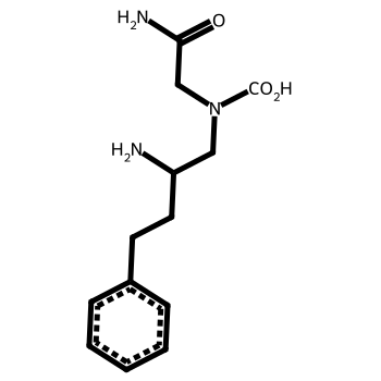 NC(=O)CN(CC(N)CCc1ccccc1)C(=O)O